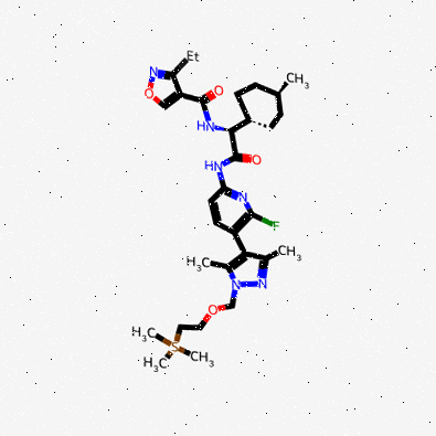 CCc1nocc1C(=O)N[C@H](C(=O)Nc1ccc(-c2c(C)nn(COCCS(C)(C)C)c2C)c(F)n1)[C@H]1CC[C@H](C)CC1